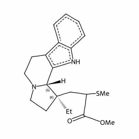 CC[C@]1(CC(SC)C(=O)OC)CCN2CCc3c([nH]c4ccccc34)[C@@H]21